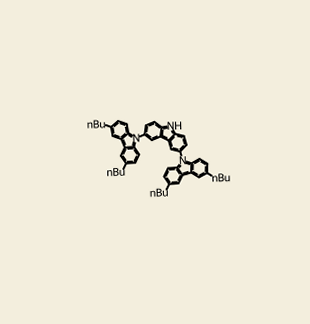 CCCCc1ccc2c(c1)c1cc(CCCC)ccc1n2-c1ccc2[nH]c3ccc(-n4c5ccc(CCCC)cc5c5cc(CCCC)ccc54)cc3c2c1